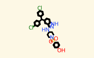 O=S(=O)(c1ccc(O)cc1)N1CCC(Nc2n[nH]c3ccc(C(c4ccc(Cl)cc4)c4ccc(Cl)cc4)cc23)CC1